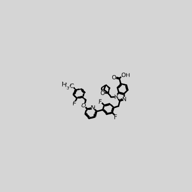 Cc1ccc(COc2cccc(-c3cc(F)c(Cc4nc5ccc(C(=O)O)cc5n4CC45CC(CO4)C5)cc3F)n2)c(F)c1